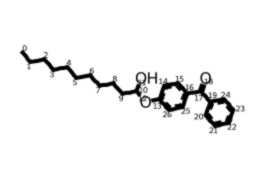 CCCCCCCCCCC(O)Oc1ccc(C(=O)c2ccccc2)cc1